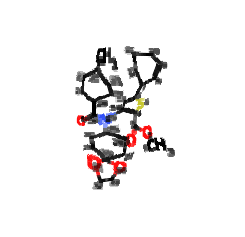 COC(=O)c1sc(C2C=CCCC2)cc1N(C(=O)C1CCC(C)CC1)C1CCC2(CC1)OCCO2